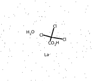 O.O=C(O)C(Cl)(Cl)Cl.[La]